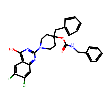 O=C(NCc1ccccc1)OC1(Cc2ccccc2)CCN(c2nc(O)c3cc(F)c(Cl)cc3n2)CC1